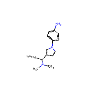 CCCCCC(C1CCN(c2ccc(N)cc2)C1)N(C)C